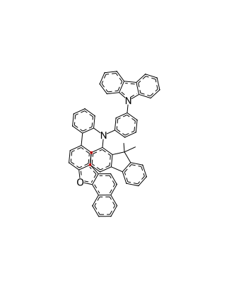 CC1(C)c2ccccc2-c2cccc(N(c3cccc(-n4c5ccccc5c5ccccc54)c3)c3ccccc3-c3ccc4oc5c6ccccc6ccc5c4c3)c21